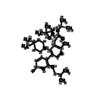 Cc1ncc(-c2ccc(F)nc2OCC(C)C)c(N2CCC(C)(C)CC2)c1[C@H](OC(C)(C)C)C(=O)OC(C)C